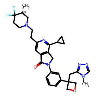 C[C@@H]1CN(CCc2cc3c(c(C4CC4)n2)CN(c2cccc(C4(Cc5nncn5C)COC4)c2)C3=O)CCC1(F)F